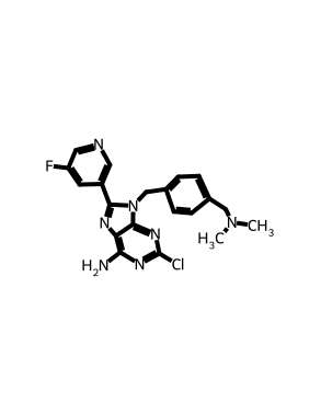 CN(C)Cc1ccc(Cn2c(-c3cncc(F)c3)nc3c(N)nc(Cl)nc32)cc1